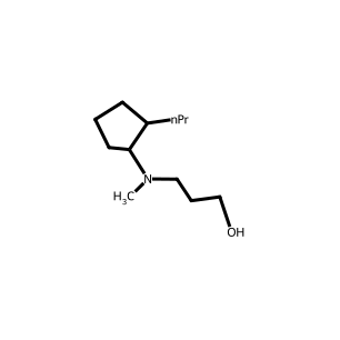 CCCC1CCCC1N(C)CCCO